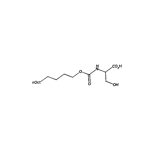 CCCCCCCCCCCCOC(=O)NC(CO)C(=O)O